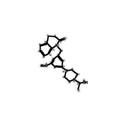 COc1cc(CN2C(=O)CCc3ccccc32)cc(N2CCN(B(C)O)CC2)c1